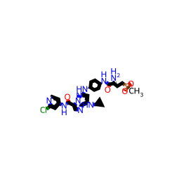 CS(=O)(=O)CC[C@H](N)C(=O)N[C@H]1CC[C@H](Nc2cc(NC3CC3)c3ncc(C(=O)Nc4ccnc(Cl)c4)n3n2)CC1